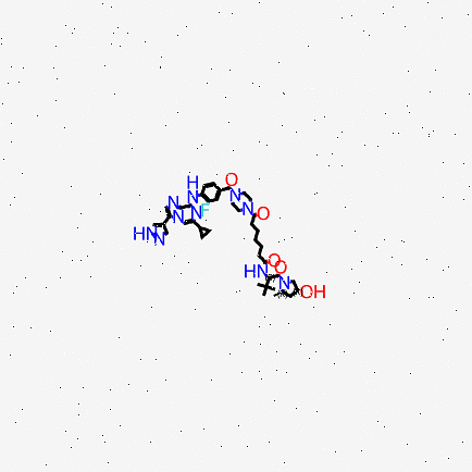 C[C@@H]1C[C@@H](O)CN1C(=O)[C@@H](NC(=O)CCCCCC(=O)N1CCN(C(=O)c2ccc(Nc3nc(C4CC4)cn4c(-c5cn[nH]c5)cnc34)c(F)c2)CC1)C(C)(C)C